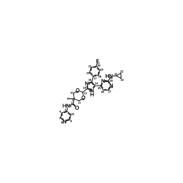 CC1(C(=O)Nc2ccncc2)COC(c2nc(-c3ccc(F)cc3)c(-c3ccnc(NC4CC4)n3)[nH]2)OC1